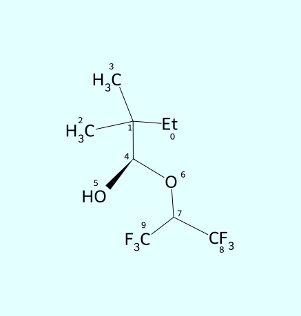 CCC(C)(C)[C@H](O)OC(C(F)(F)F)C(F)(F)F